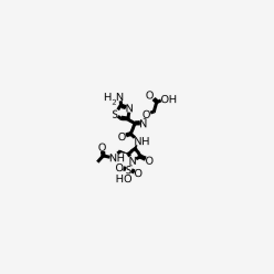 CC(=O)NC[C@H]1[C@@H](NC(=O)/C(=N/OCC(=O)O)c2csc(N)n2)C(=O)N1S(=O)(=O)O